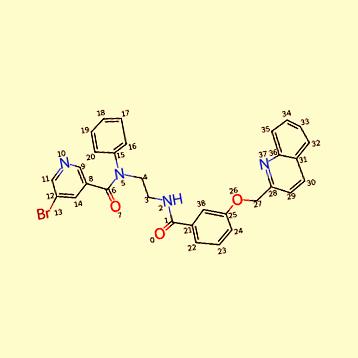 O=C(NCCN(C(=O)c1cncc(Br)c1)c1ccccc1)c1cccc(OCc2ccc3ccccc3n2)c1